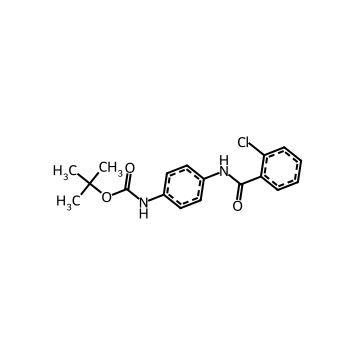 CC(C)(C)OC(=O)Nc1ccc(NC(=O)c2ccccc2Cl)cc1